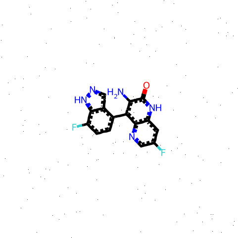 Nc1c(-c2ccc(F)c3[nH]ncc23)c2ncc(F)cc2[nH]c1=O